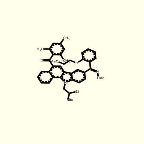 CCCCC(CC)Cn1c2ccc(/C(=N\OC(C)=O)c3ccccc3OCCOC)cc2c2cc(C(=O)c3c(C)cc(C)cc3C)c3ccccc3c21